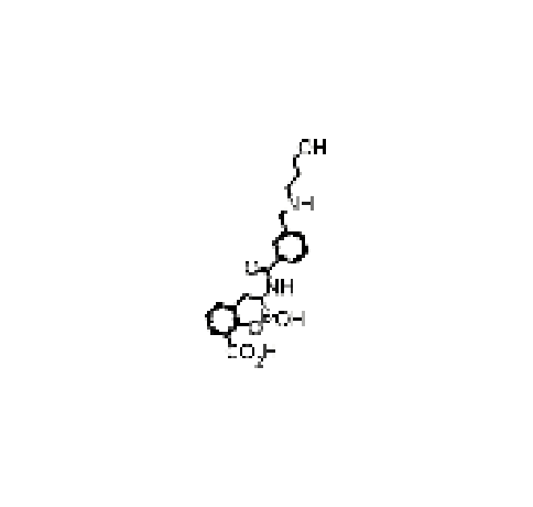 O=C(N[C@H]1Cc2cccc(C(=O)O)c2OB1O)c1cccc(CNCCCO)c1